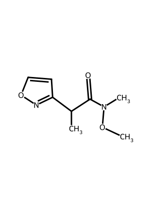 CON(C)C(=O)C(C)c1ccon1